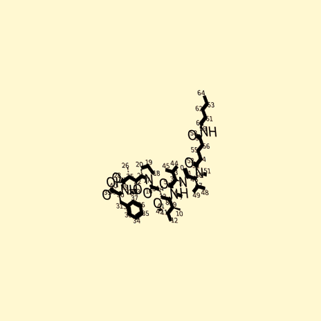 C=C(N[C@H](C(=O)N(C)C([C@@H](C)CC)[C@@H](CC(=O)N1CCC[C@H]1[C@H](OC)[C@@H](C)C(=O)N[C@@H](Cc1ccccc1)C(=O)O)OC)C(C)C)[C@H](C(C)C)N(C)C(=O)CCCC(=O)NCCCCC